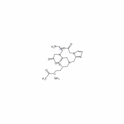 C=C(CN(CCCC[C@H](N)C(C)=O)Cc1nccn1CC(=O)O)N(/C=C\N)CC(=O)O